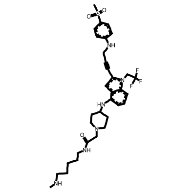 CNCCCCCNC(=O)CN1CCC(Nc2cccc3c2cc(C#CCNc2ccc(S(C)(=O)=O)cc2)n3CC(F)(F)F)CC1